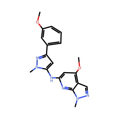 COc1cccc(-c2cc(Nc3cc(OC)c4cnn(C)c4n3)n(C)n2)c1